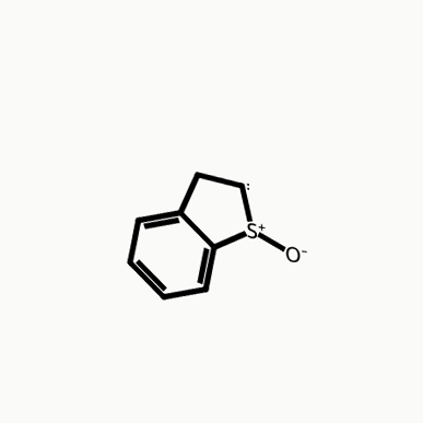 [O-][S+]1[C]Cc2ccccc21